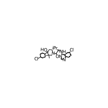 CC(C)[C@@H](Nc1ncnc2ccc(Cl)cc12)C(=O)N1CC[C@](O)(c2ccc(Cl)cc2)C(C)(C)C1